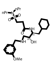 CCCN(CCC)S(=O)(=O)CCC(=O)N[C@@H](CC1CCCCC1)[C@H](O)CNCc1cccc(OC)c1